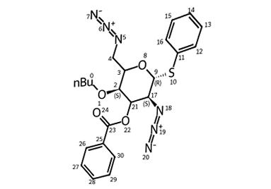 CCCCO[C@H]1C(CN=[N+]=[N-])O[C@H](Sc2ccccc2)[C@@H](N=[N+]=[N-])C1OC(=O)c1ccccc1